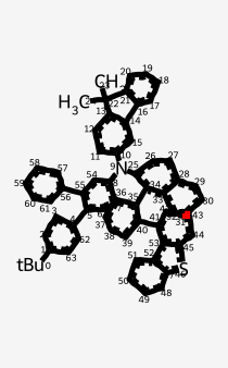 CC(C)(C)c1ccc(-c2ccc(N(c3ccc4c(c3)-c3ccccc3C4(C)C)c3ccc4ccccc4c3-c3ccccc3-c3cccc4sc5ccccc5c34)cc2-c2ccccc2)cc1